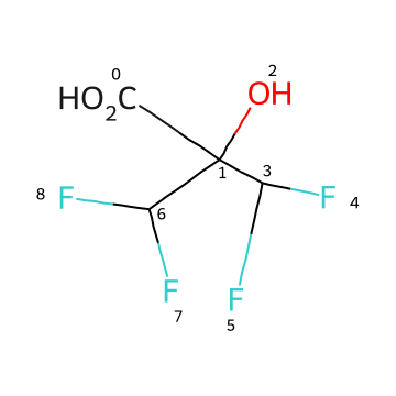 O=C(O)C(O)(C(F)F)C(F)F